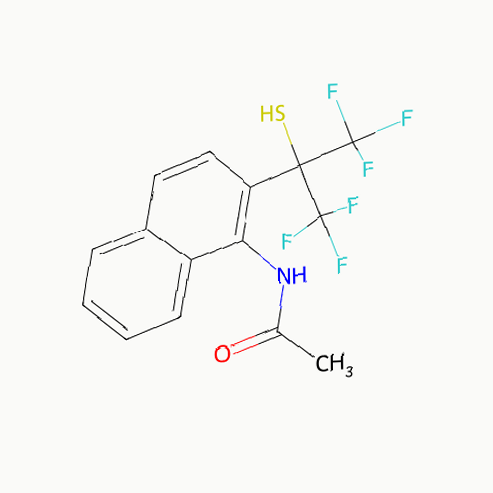 CC(=O)Nc1c(C(S)(C(F)(F)F)C(F)(F)F)ccc2ccccc12